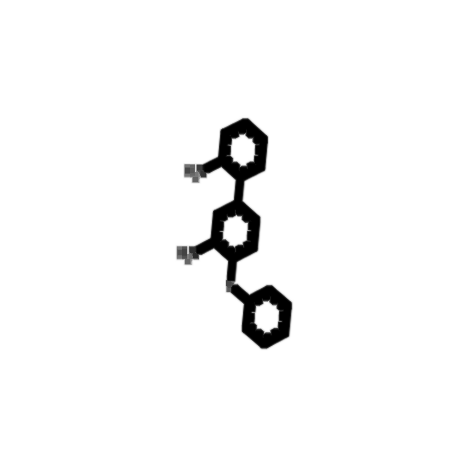 Nc1cc(-c2ccccc2N)ccc1Sc1ccccc1